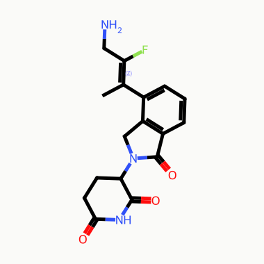 C/C(=C(/F)CN)c1cccc2c1CN(C1CCC(=O)NC1=O)C2=O